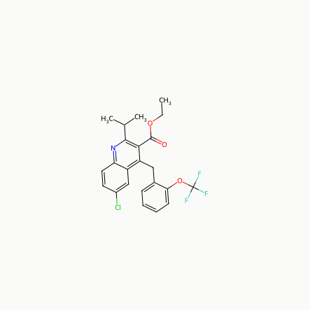 CCOC(=O)c1c(C(C)C)nc2ccc(Cl)cc2c1Cc1ccccc1OC(F)(F)F